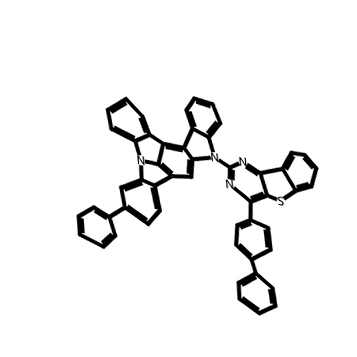 c1ccc(-c2ccc(-c3nc(-n4c5ccccc5c5c6c7ccccc7n7c8cc(-c9ccccc9)ccc8c(cc54)c67)nc4c3sc3ccccc34)cc2)cc1